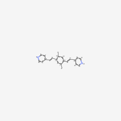 Cc1cc(/C=C/c2ccncc2)c(C)cc1/C=C/c1ccncc1